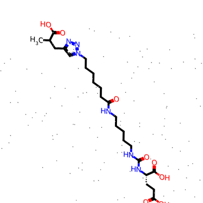 CC(Cc1cn(CCCCCCC(=O)NCCCCCNC(=O)N[C@@H](CCC(=O)O)C(=O)O)nn1)C(=O)O